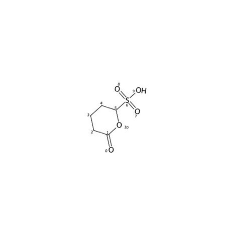 O=C1CCCC(S(=O)(=O)O)O1